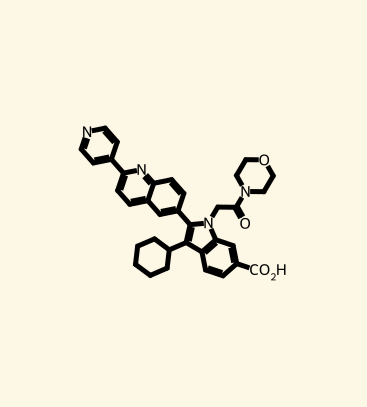 O=C(O)c1ccc2c(C3CCCCC3)c(-c3ccc4nc(-c5ccncc5)ccc4c3)n(CC(=O)N3CCOCC3)c2c1